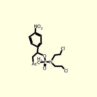 CC(=O)CC(OP(C)(=O)N(CCCl)CCCl)c1ccc([N+](=O)[O-])cc1